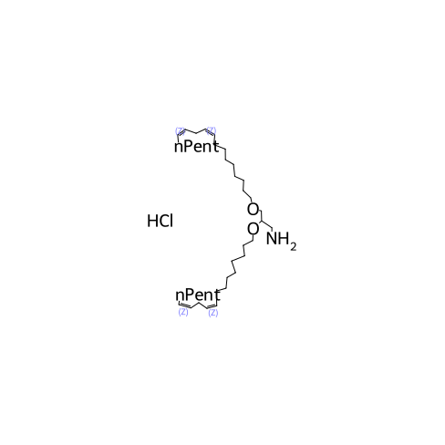 CCCCC/C=C\C/C=C\CCCCCCCCOCC(CN)OCCCCCCCC/C=C\C/C=C\CCCCC.Cl